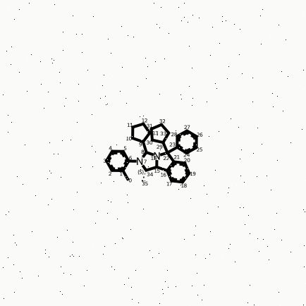 Cc1ccccc1N1C(C2CCCC2)N2C(c3ccccc3C2(c2ccccc2)C2CCCC2)[C@@H]1C